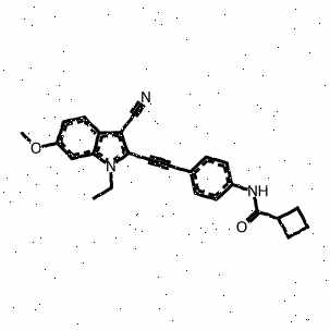 CCn1c(C#Cc2ccc(NC(=O)C3CCC3)cc2)c(C#N)c2ccc(OC)cc21